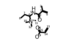 C=C(C)C(=O)NC(CC)[N+](C)(C)C.C=CC(=O)[O-]